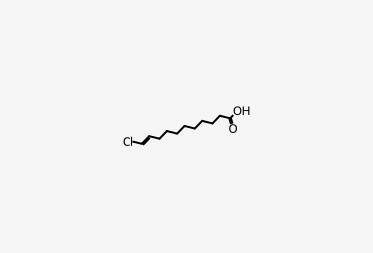 O=C(O)CCCCCCCCC=CCl